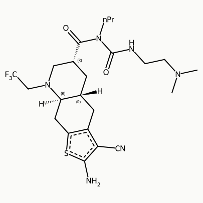 CCCN(C(=O)NCCN(C)C)C(=O)[C@@H]1C[C@@H]2Cc3c(sc(N)c3C#N)C[C@H]2N(CC(F)(F)F)C1